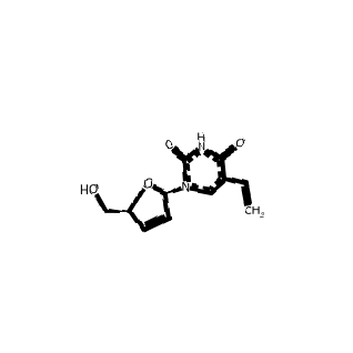 C=Cc1cn([C@H]2C=C[C@@H](CO)O2)c(=O)[nH]c1=O